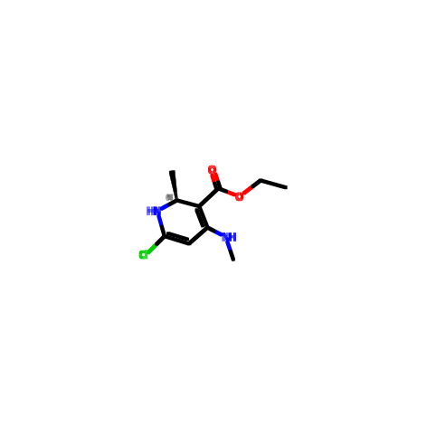 CCOC(=O)C1=C(NC)C=C(Cl)N[C@H]1C